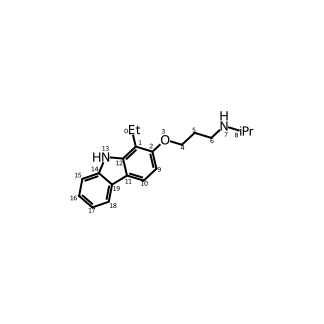 CCc1c(OCCCNC(C)C)ccc2c1[nH]c1ccccc12